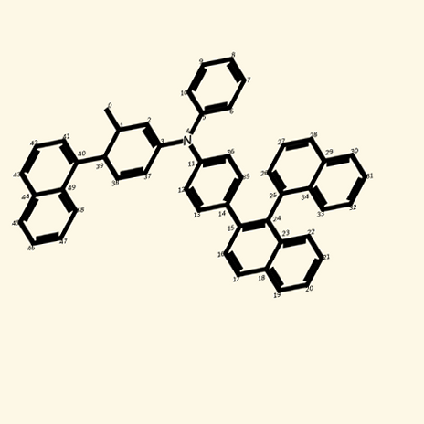 CC1C=C(N(c2ccccc2)c2ccc(-c3ccc4ccccc4c3-c3cccc4ccccc34)cc2)C=CC1c1cccc2ccccc12